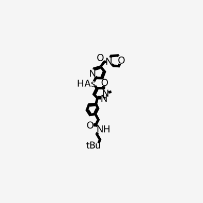 Cn1nc(-c2cccc(CC(=O)NCCC(C)(C)C)c2)cc([AsH]c2ccc(C(=O)N3CCOCC3)cn2)c1=O